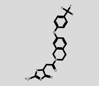 NC1=NC(=O)C(CC(=O)N2CCc3ccc(Oc4ccc(C(F)(F)F)cc4)cc3C2)S1